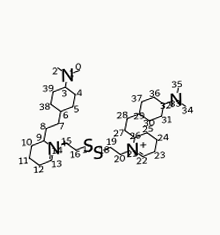 CN(C)C1CCC(CCC2CCCC=[N+]2CCSSCC[N+]2=CCCCC2CCC2CCC(N(C)C)CC2)CC1